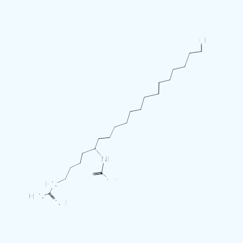 CCCCCCCCCCCCCCCC(CCCCNC(=N)N)NC(C)=O